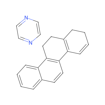 C1=CC2=C(CC1)CCc1c2ccc2ccccc12.c1cnccn1